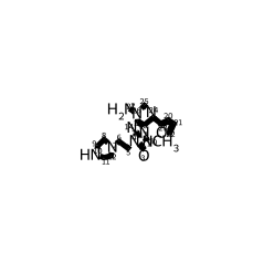 Cn1c(=O)n(CCN2CCNCC2)c2nc3c(n21)C(c1ccco1)=NCN3N